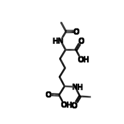 CC(=O)NC(CCCC(NC(C)=O)C(=O)O)C(=O)O